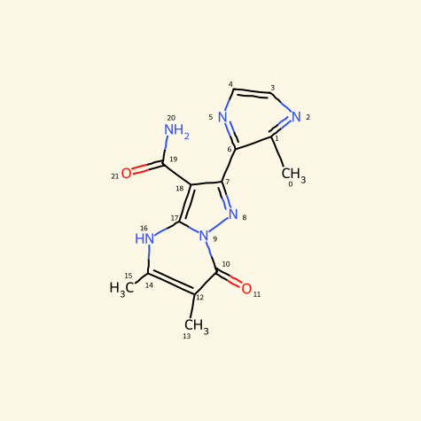 Cc1nccnc1-c1nn2c(=O)c(C)c(C)[nH]c2c1C(N)=O